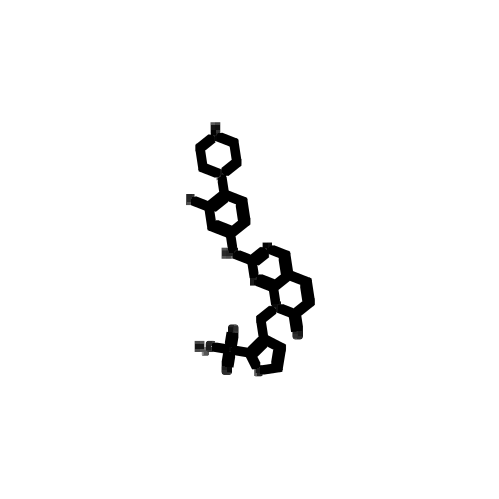 CS(=O)(=O)c1sccc1Cn1c(=O)ccc2cnc(Nc3ccc(N4CCNCC4)c(F)c3)nc21